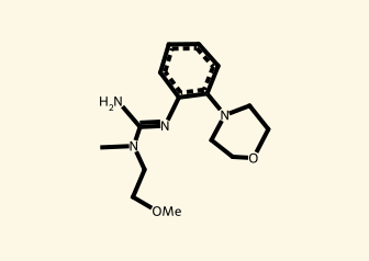 COCCN(C)/C(N)=N/c1ccccc1N1CCOCC1